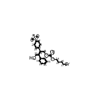 CS(=O)(=O)c1ccc(C(COC(=O)OCCCCBr)=C(CO)c2ccccc2)cc1